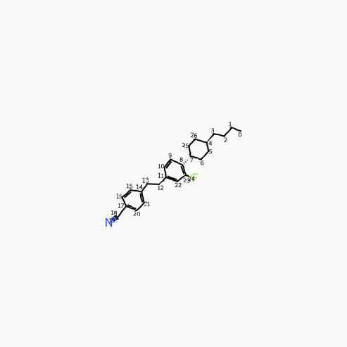 CCCC[C@H]1CC[C@H](c2ccc(CCc3ccc(C#N)cc3)cc2F)CC1